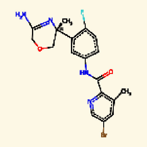 Cc1cc(Br)cnc1C(=O)Nc1ccc(F)c([C@]2(C)COCC(N)=N2)c1